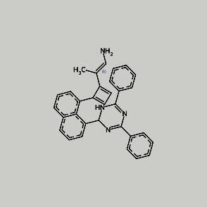 C/C(=C\N)C1=CC=C1c1cccc2cccc(C3N=C(c4ccccc4)N=C(c4ccccc4)N3)c12